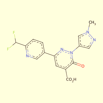 Cn1cc(-n2nc(-c3ccc(C(F)F)nc3)cc(C(=O)O)c2=O)cn1